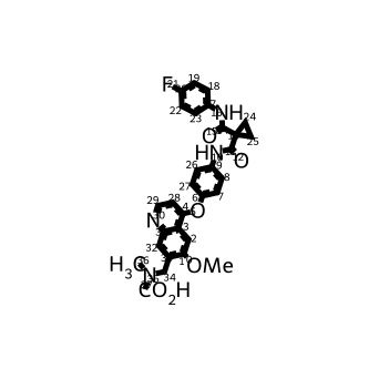 COc1cc2c(Oc3ccc(NC(=O)C4(C(=O)Nc5ccc(F)cc5)CC4)cc3)ccnc2cc1CN(C)C(=O)O